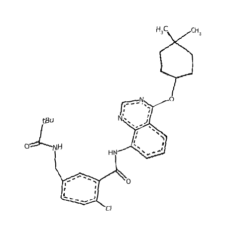 CC1(C)CCC(Oc2ncnc3c(NC(=O)c4cc(CNC(=O)C(C)(C)C)ccc4Cl)cccc23)CC1